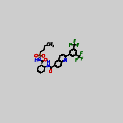 CCCCS(=O)(=O)NC(=O)[C@H]1CC=CC[C@@H]1NC(=O)c1ccc2nc(-c3cc(C(F)(F)F)cc(C(F)(F)F)c3)ccc2c1